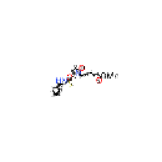 COC(=O)CCCC#CCN1C(=O)CC[C@@H]1COC(=S)NCCc1ccccc1